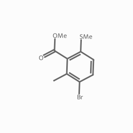 COC(=O)c1c(SC)ccc(Br)c1C